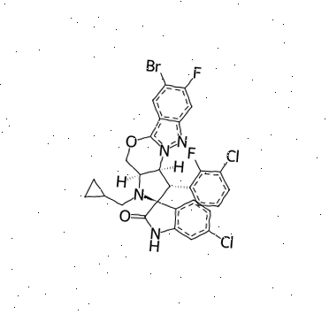 O=C1Nc2cc(Cl)ccc2[C@@]12[C@@H](c1cccc(Cl)c1F)[C@H]1[C@H](COc3c4cc(Br)c(F)cc4nn31)N2CC1CC1